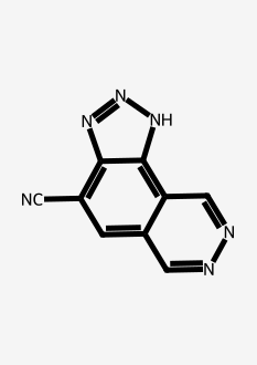 N#Cc1cc2cnncc2c2[nH]nnc12